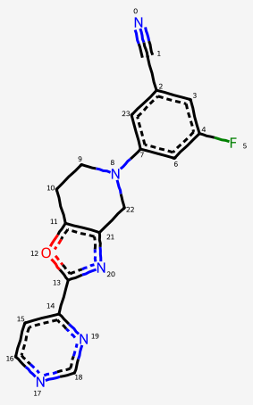 N#Cc1cc(F)cc(N2CCc3oc(-c4ccncn4)nc3C2)c1